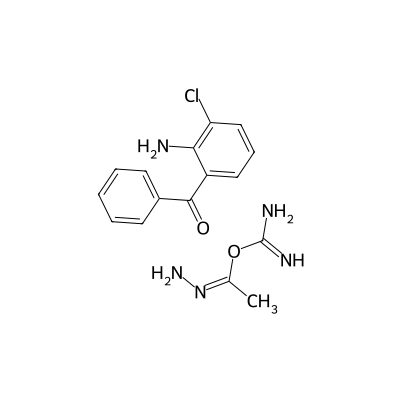 C/C(=N/N)OC(=N)N.Nc1c(Cl)cccc1C(=O)c1ccccc1